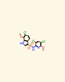 COc1nc(NS(=O)(=O)c2c[nH]c3c(OC)c(Cl)ccc23)c(F)cc1Cl